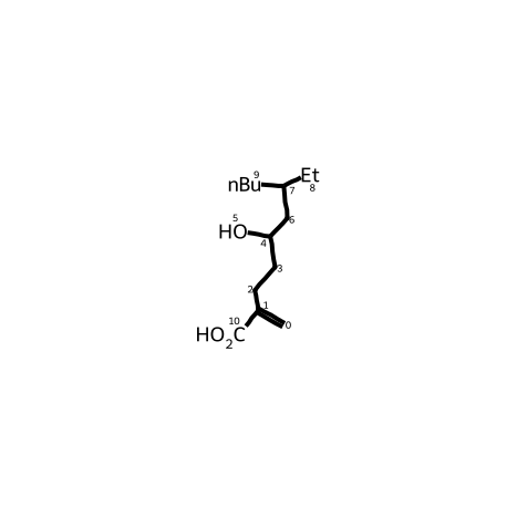 C=C(CCC(O)CC(CC)CCCC)C(=O)O